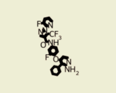 Nc1nccc(Oc2ccc(NC(=O)c3cnn(-c4ncccc4F)c3C(F)(F)F)cc2F)c1C1=CCCCC1